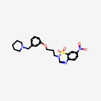 O=[N+]([O-])c1ccc2c(c1)S(=O)(=O)N(CCCOc1cccc(CN3CCCCC3)c1)C=N2